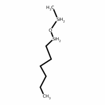 CCCCCC[SiH2]O[SiH2]C